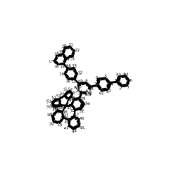 c1ccc(-c2ccc(-c3cc(-c4ccc(-c5cccc6ccccc56)cc4)nc(-c4ccc5c(c4)C4(c6ccccc6-c6ccccc6-5)c5ccccc5-c5ccccc54)n3)cc2)cc1